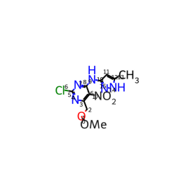 COOCc1nc(Cl)nc(Nc2cc(C)[nH]n2)c1[N+](=O)[O-]